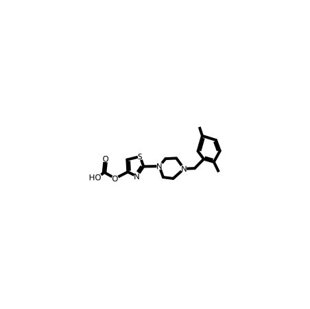 Cc1ccc(C)c(CN2CCN(c3nc(OC(=O)O)cs3)CC2)c1